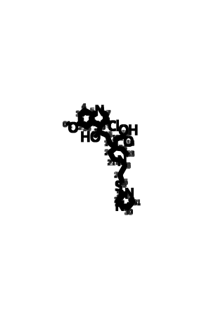 COc1ccc2ncc(Cl)c([C@H](O)CCC3(CC(=O)O)CCN(CCCSc4cnccn4)CC3)c2c1